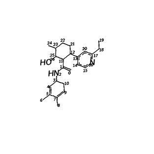 C=C(NC1C=C(C)C(C)=CC1)C1C(c2ccnc(CC)c2)CCC(C)C1O